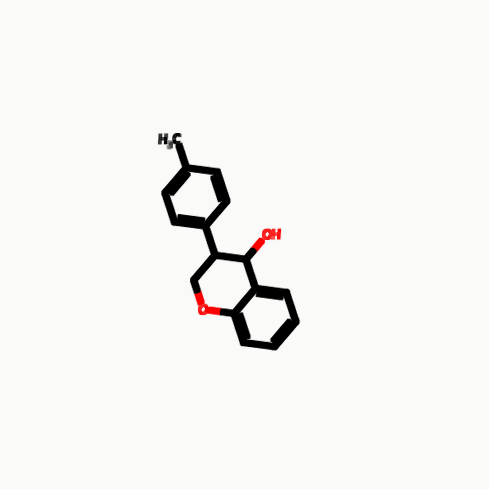 Cc1ccc(C2COc3ccccc3C2O)cc1